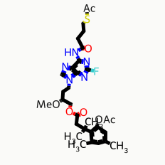 COC(CCn1cnc2c(NC(=O)CCCSC(C)=O)nc(F)nc21)COC(=O)CC(C)(C)c1c(C)cc(C)cc1OC(C)=O